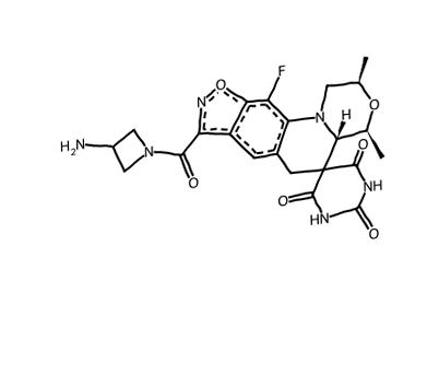 C[C@@H]1CN2c3c(cc4c(C(=O)N5CC(N)C5)noc4c3F)CC3(C(=O)NC(=O)NC3=O)[C@H]2[C@H](C)O1